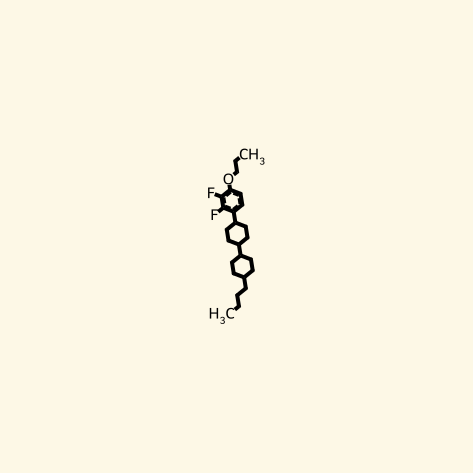 CCCCC1CCC(C2CCC(c3ccc(OCCC)c(F)c3F)CC2)CC1